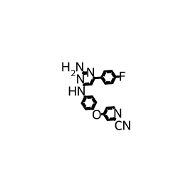 N#Cc1cc(Oc2ccc(Nc3cc(-c4ccc(F)cc4)nc(N)n3)cc2)ccn1